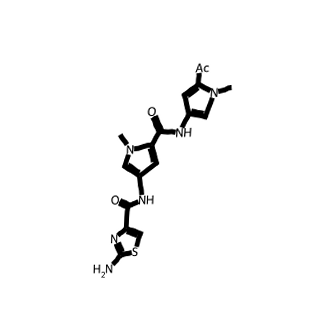 CC(=O)c1cc(NC(=O)c2cc(NC(=O)c3csc(N)n3)cn2C)cn1C